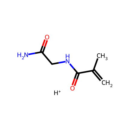 C=C(C)C(=O)NCC(N)=O.[H+]